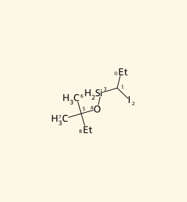 CCC(I)[SiH2]OC(C)(C)CC